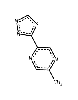 Cc1cnc(-c2nncs2)cn1